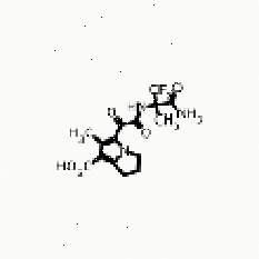 Cc1c(C(=O)O)c2n(c1C(=O)C(=O)NC(C)(C(N)=O)C(F)(F)F)CCC2